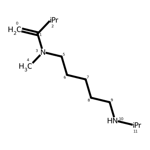 C=C(C(C)C)N(C)CCCCCNC(C)C